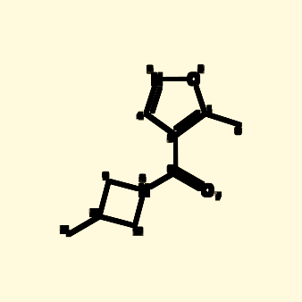 Cc1oncc1C(=O)N1CC(C)C1